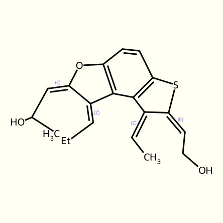 C/C=c1\c(=C/CO)sc2ccc3oc(=C/C(C)O)/c(=C\CC)c3c12